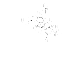 CC1(C)CC[C@]2(C(=O)NCC(F)(F)F)CC[C@]3(C)C(C(=O)C=C4[C@@]5(C)C=C(C#N)C(O)C(C)(C)[C@@H]5CC[C@]43C)C2C1